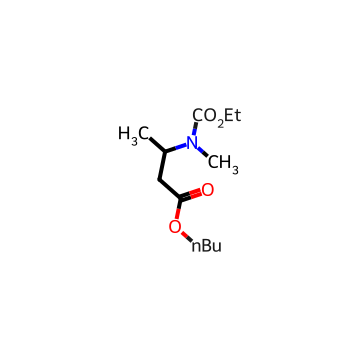 CCCCOC(=O)CC(C)N(C)C(=O)OCC